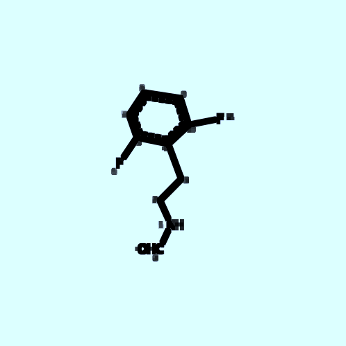 O=[C]NCCc1c(F)cccc1F